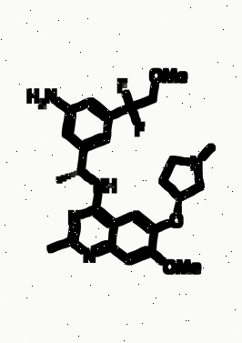 COCC(F)(F)c1cc(N)cc([C@@H](C)Nc2nc(C)nc3cc(OC)c(O[C@H]4CCN(C)C4)cc23)c1